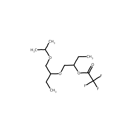 CCC(COC(C)C)OCC(CC)OC(=O)C(F)(F)F